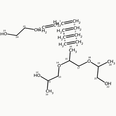 C=C.C=C.C=C.C=C.C=C.CC(O)COC(C)COC(C)CO.OCCO